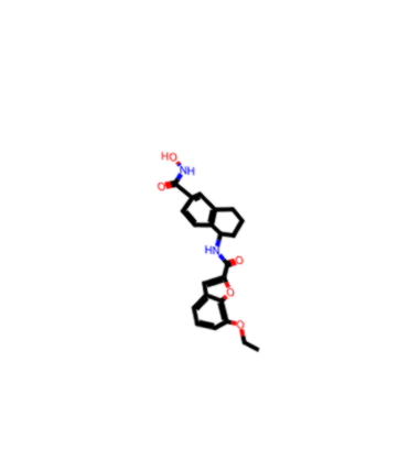 CCOc1cccc2cc(C(=O)NC3CCCc4cc(C(=O)NO)ccc43)oc12